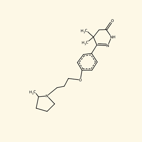 CC1CCCN1CCCOc1ccc(C2=NNC(=O)CC2(C)C)cc1